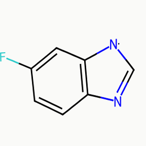 Fc1ccc2c(c1)[N]C=N2